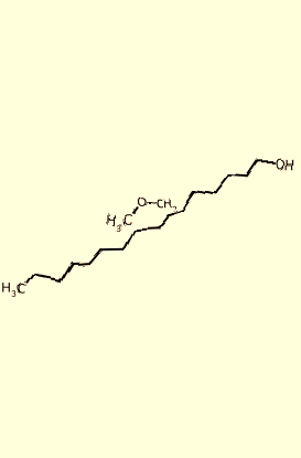 CCCCCCCCCCCCCCCCO.COC